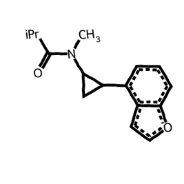 CC(C)C(=O)N(C)C1CC1c1cccc2occc12